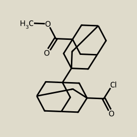 COC(=O)C12CC3CC(C1)CC(C14CC5CC(CC(C(=O)Cl)(C5)C1)C4)(C3)C2